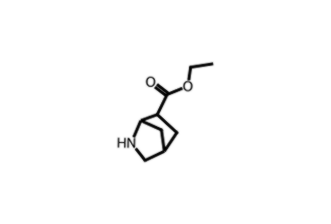 CCOC(=O)C1CC2CNC1C2